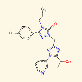 CC(O)c1nc(Cn2nc(-c3ccc(Cl)cc3)n(CCC(F)(F)F)c2=O)nn1-c1cccnc1